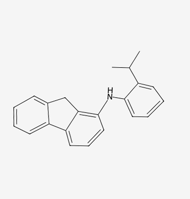 CC(C)c1ccccc1Nc1cccc2c1Cc1ccccc1-2